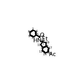 CCC1(NC(=O)c2ccccc2)Cc2ccc(C(C)=O)cc2C1